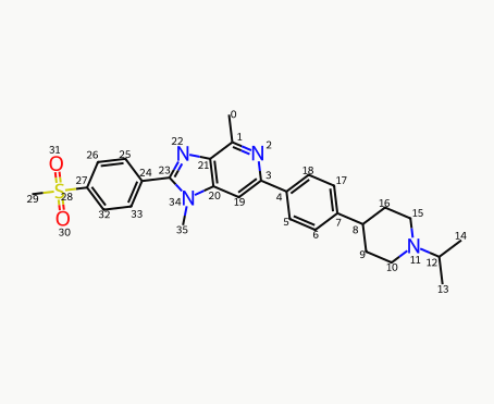 Cc1nc(-c2ccc(C3CCN(C(C)C)CC3)cc2)cc2c1nc(-c1ccc(S(C)(=O)=O)cc1)n2C